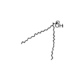 C=C(C(=O)O)C(CCCCCCCCCCCCCCCCCC)CCCCCCCCCCCCCCCCCCCC